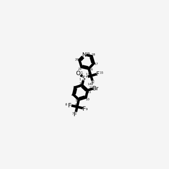 [O-][S+](c1ccc(C(F)(F)F)cc1Br)C(F)(F)c1ccncc1